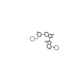 c1cc2[nH]c(-c3n[nH]c4ccc(-c5cncc(CC6CCCCC6)c5)cc34)cc2c(N2CCCCC2)n1